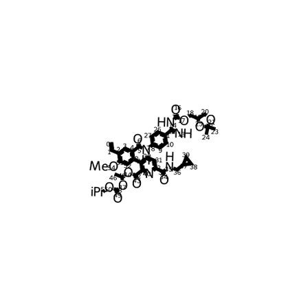 C=Cc1cc(C(=O)Nc2ccc(C(=N)NC(=O)OCC3COC(C)(C)O3)cc2)c(-c2ccc(C(=O)NCC3CC3)nc2C(=O)OC(C)OC(=O)OC(C)C)cc1OC